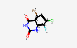 O=c1[nH]c(=O)c2c(Br)cc(Cl)c(F)c2[nH]1